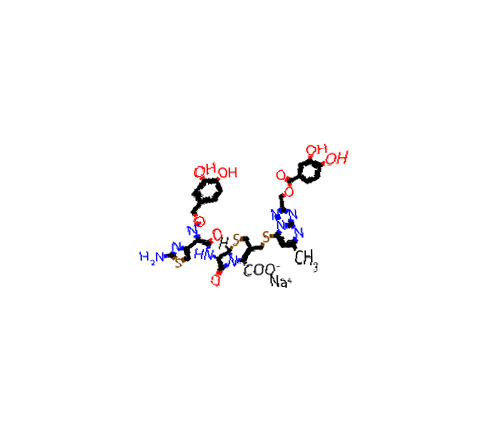 Cc1cc(SCC2=C(C(=O)[O-])N3C(=O)[C@@H](NC(=O)/C(=N\OCc4ccc(O)c(O)c4)c4csc(N)n4)[C@H]3SC2)n2nc(COC(=O)c3ccc(O)c(O)c3)nc2n1.[Na+]